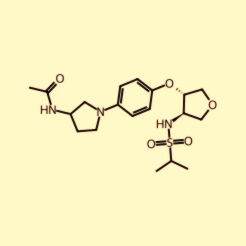 CC(=O)NC1CCN(c2ccc(O[C@@H]3COC[C@H]3NS(=O)(=O)C(C)C)cc2)C1